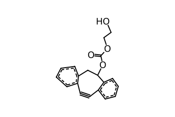 O=C(OCCO)OC1Cc2ccccc2C#Cc2ccccc21